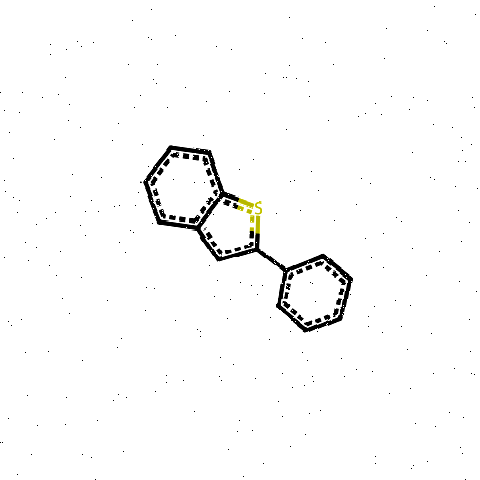 [c]1ccc2sc(-c3ccccc3)cc2c1